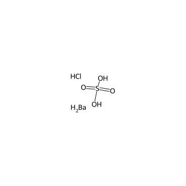 Cl.O=S(=O)(O)O.[BaH2]